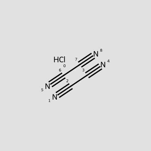 Cl.N#CC#N.N#CC#N